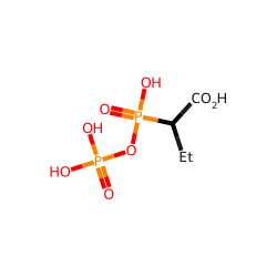 CCC(C(=O)O)P(=O)(O)OP(=O)(O)O